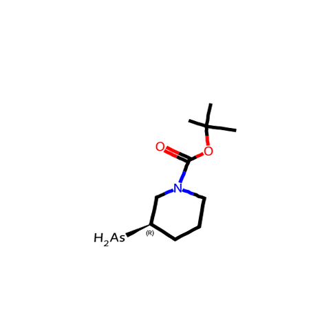 CC(C)(C)OC(=O)N1CCC[C@@H]([AsH2])C1